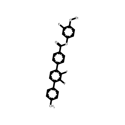 CCOc1ccc(OC(=O)c2ccc(-c3ccc(-c4ccc(C)cc4)c(F)c3F)cc2)cc1F